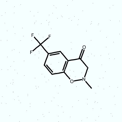 CN1CC(=O)c2cc(C(F)(F)F)ccc2O1